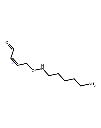 NCCCCCNOC/C=C\C=O